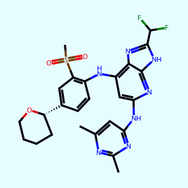 Cc1cc(Nc2cc(Nc3ccc([C@@H]4CCCCO4)cc3S(C)(=O)=O)c3nc(C(F)F)[nH]c3n2)nc(C)n1